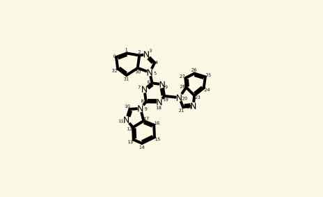 C1=CC2N=CN(c3nc(-n4cnc5ccccc54)nc(-n4cnc5ccccc54)n3)C2C=C1